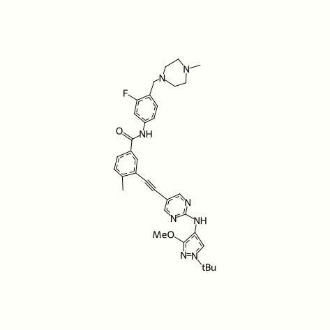 COc1nn(C(C)(C)C)cc1Nc1ncc(C#Cc2cc(C(=O)Nc3ccc(CN4CCN(C)CC4)c(F)c3)ccc2C)cn1